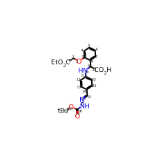 CCOC(=O)COc1ccccc1C(Nc1ccc(C=NNC(=O)OC(C)(C)C)cc1)C(=O)O